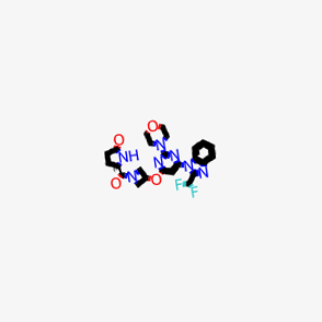 O=C1CC[C@H](C(=O)N2CC(Oc3cc(-n4c(C(F)F)nc5ccccc54)nc(N4CCOCC4)n3)C2)N1